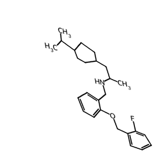 CC(CC1CCC(C(C)C)CC1)NCc1ccccc1OCc1ccccc1F